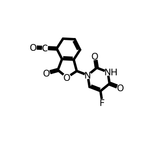 O=C=C1CC=CC2=C1C(=O)OC2n1cc(F)c(=O)[nH]c1=O